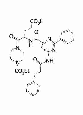 CCOC(=O)N1CCN(C(=O)[C@H](CCC(=O)O)NC(=O)c2cc(NC(=O)CCc3ccccc3)nc(-c3ccccc3)n2)CC1